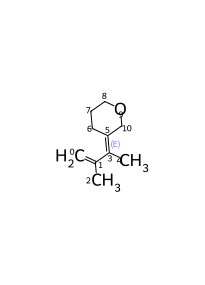 C=C(C)/C(C)=C1\CCCOC1